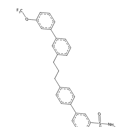 NS(=O)(=O)c1cccc(-c2ccc(CCCc3cccc(-c4cccc(OC(F)(F)F)c4)c3)cc2)c1